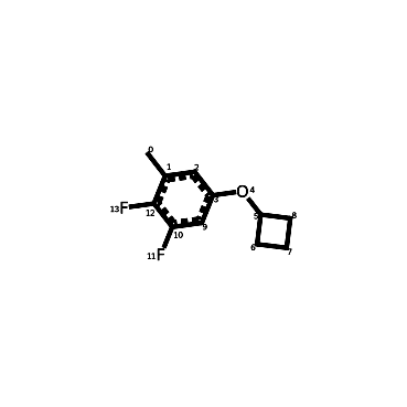 Cc1cc(OC2CCC2)cc(F)c1F